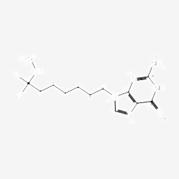 NPC(F)(F)CCCCCCn1cnc2c(=O)[nH]c(N)nc21